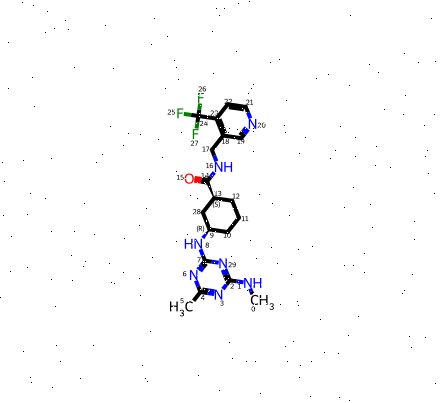 CNc1nc(C)nc(N[C@@H]2CCC[C@H](C(=O)NCc3cnccc3C(F)(F)F)C2)n1